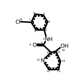 O=C(Nc1cccc(Cl)c1)c1ncccc1O